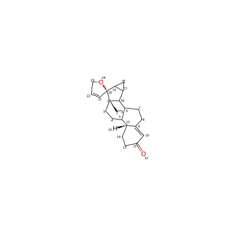 CC[C@]12CCC3C(CCC4=CC(=O)CC[C@@H]43)C1C1CC1[C@@]21C=CCO1